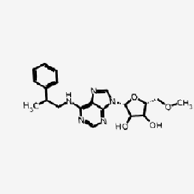 COC[C@H]1O[C@@H](n2cnc3c(NCC(C)c4ccccc4)ncnc32)C(O)C1O